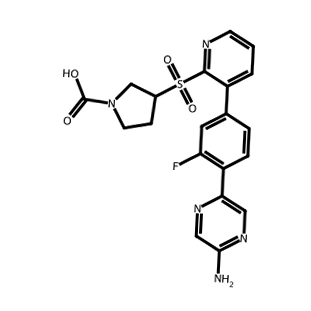 Nc1cnc(-c2ccc(-c3cccnc3S(=O)(=O)C3CCN(C(=O)O)C3)cc2F)cn1